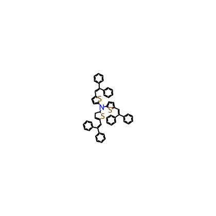 C1=C(C=C(c2ccccc2)c2ccccc2)SC(N(c2ccc(C=C(c3ccccc3)c3ccccc3)s2)c2ccc(C=C(c3ccccc3)c3ccccc3)s2)C1